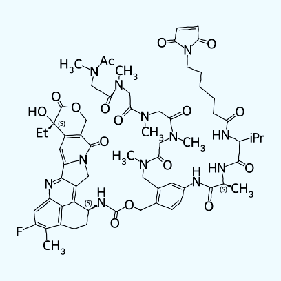 CC[C@@]1(O)C(=O)OCc2c1cc1n(c2=O)Cc2c-1nc1cc(F)c(C)c3c1c2[C@@H](NC(=O)OCc1ccc(NC(=O)[C@H](C)NC(=O)C(NC(=O)CCCCCN2C(=O)C=CC2=O)C(C)C)cc1CN(C)C(=O)CN(C)C(=O)CN(C)C(=O)CN(C)C(=O)CN(C)C(C)=O)CC3